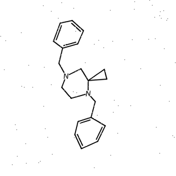 c1ccc(CN2CCN(Cc3ccccc3)C3(CC3)C2)cc1